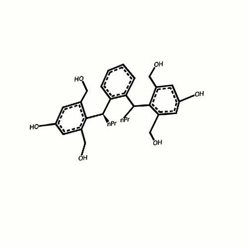 CCCC(c1ccccc1[C@@H](CCC)c1c(CO)cc(O)cc1CO)c1c(CO)cc(O)cc1CO